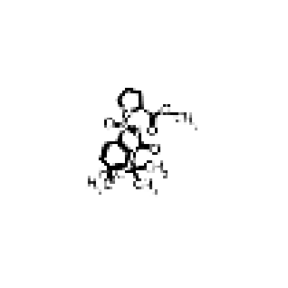 COC(=O)[C@@H]1CCCN1S(=O)(=NC(=O)OC(C)(C)C)c1ccc(C)cc1